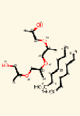 CC(C)CCCCCC(=O)O.CC(C)CCCCCC(=O)O.CC(O)COC(C)COC(C)COC(C)CO